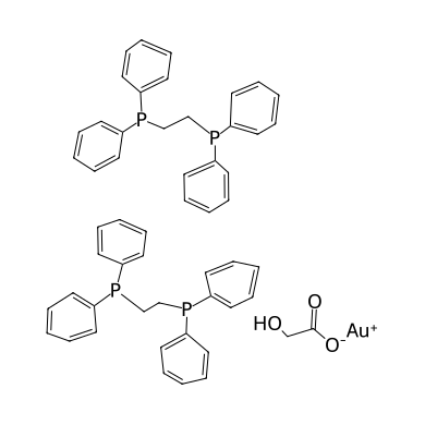 O=C([O-])CO.[Au+].c1ccc(P(CCP(c2ccccc2)c2ccccc2)c2ccccc2)cc1.c1ccc(P(CCP(c2ccccc2)c2ccccc2)c2ccccc2)cc1